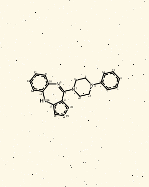 c1ccc(N2CCN(C3=Nc4ccccc4Nc4cscc43)CC2)cc1